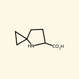 O=C(O)C1CCC2(CC2)N1